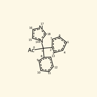 CC(=O)C(c1ccccc1)(c1ccccc1)n1ccnc1